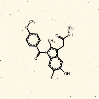 CC[C@H](C)NC(=O)Cc1c(C)n(C(=O)c2ccc(OC(F)(F)F)cc2)c2cc(F)c(O)cc12